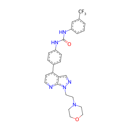 O=C(Nc1ccc(-c2ccnc3c2cnn3CCN2CCOCC2)cc1)Nc1cccc(C(F)(F)F)c1